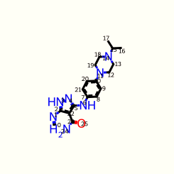 C=Nc1[nH]nc(Nc2ccc(N3CCN(C(C)C)CC3)cc2)c1C(N)=O